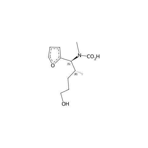 C[C@H](CCCO)[C@@H](c1ccco1)N(C)C(=O)O